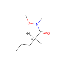 [2H][C@](C)(CCC)C(=O)N(C)OC